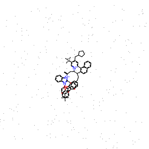 C=C1CC2C(CCc3ccc4c(oc5ccccc54)c3-c3n(-c4ccc(C(C)(C)C)cc4-c4ccccc4)c4ccccc4[n+]31)c1ccc3ccccc3c1-c1cc(CC3CCCC3)c([Si](C)(C)C)c[n+]12